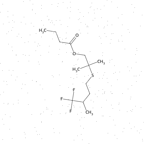 CCCC(=O)OCC(C)(C)SCCC(C)C(F)(F)F